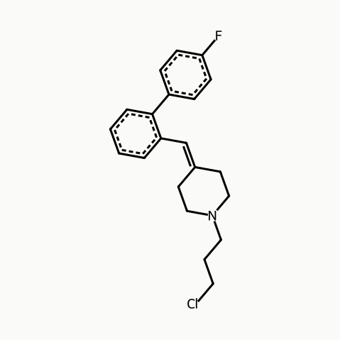 Fc1ccc(-c2ccccc2C=C2CCN(CCCCl)CC2)cc1